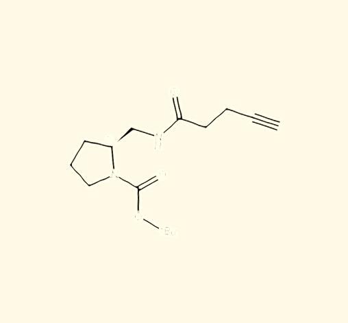 C#CCCC(=O)NC[C@@H]1CCCN1C(=O)OC(C)(C)C